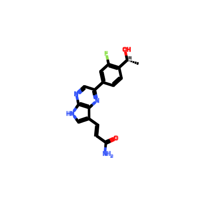 C[C@@H](O)c1ccc(-c2cnc3[nH]cc(C=CC(N)=O)c3n2)cc1F